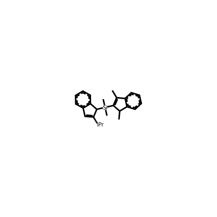 CC1=C([Si](C)(C)C2C(C(C)C)=Cc3ccccc32)C(C)c2ccccc21